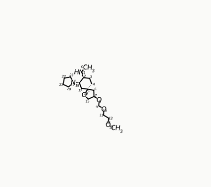 CN[C@H]1CC[C@@]2(CC(OCOCCOC)CO2)C[C@@H]1N1CCCC1